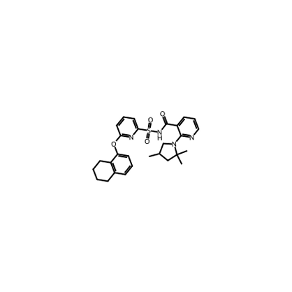 CC1CN(c2ncccc2C(=O)NS(=O)(=O)c2cccc(Oc3cccc4c3CCCC4)n2)C(C)(C)C1